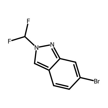 FC(F)n1cc2ccc(Br)cc2n1